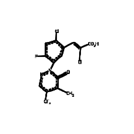 Cc1c(C(F)(F)F)cnn(-c2cc(C=C(Cl)C(=O)O)c(Cl)cc2F)c1=O